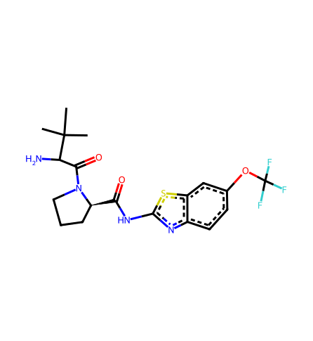 CC(C)(C)C(N)C(=O)N1CCC[C@@H]1C(=O)Nc1nc2ccc(OC(F)(F)F)cc2s1